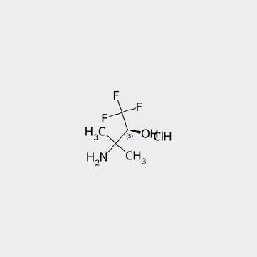 CC(C)(N)[C@H](O)C(F)(F)F.Cl